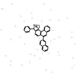 c1ccc(-c2noc3c2ccc2c(-c4ccc5ccccc5c4)cc4ccccc4c23)cc1